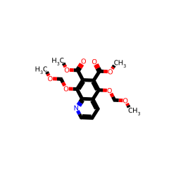 COCOc1c(C(=O)OC)c(C(=O)OC)c(OCOC)c2ncccc12